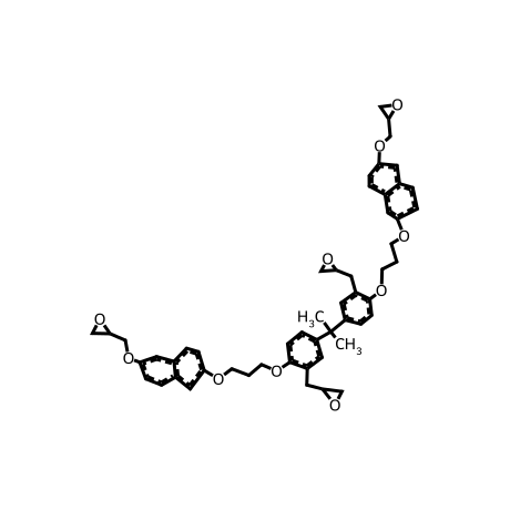 CC(C)(c1ccc(OCCCOc2ccc3cc(OCC4CO4)ccc3c2)c(CC2CO2)c1)c1ccc(OCCCOc2ccc3cc(OCC4CO4)ccc3c2)c(CC2CO2)c1